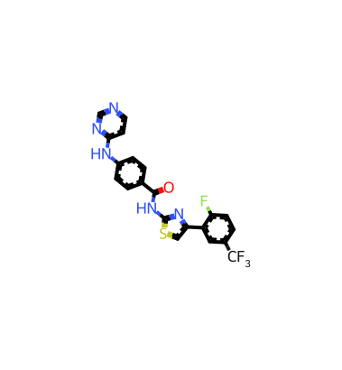 O=C(Nc1nc(-c2cc(C(F)(F)F)ccc2F)cs1)c1ccc(Nc2ccncn2)cc1